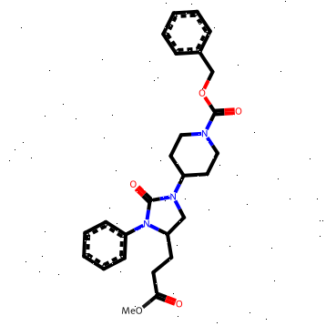 COC(=O)CCC1CN(C2CCN(C(=O)OCc3ccccc3)CC2)C(=O)N1c1ccccc1